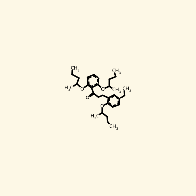 CCCC(C)Oc1ccc(CC)cc1CCC(=O)c1c(OC(C)CCC)cccc1OC(C)CCC